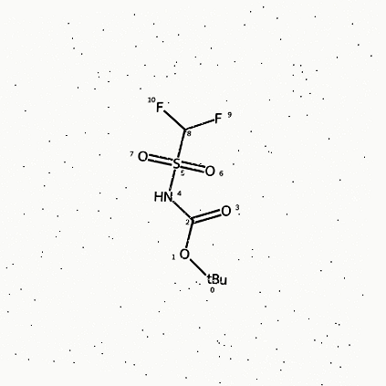 CC(C)(C)OC(=O)NS(=O)(=O)C(F)F